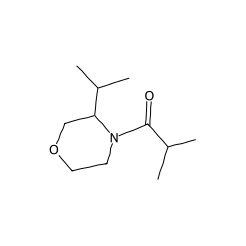 CC(C)C(=O)N1CCOCC1C(C)C